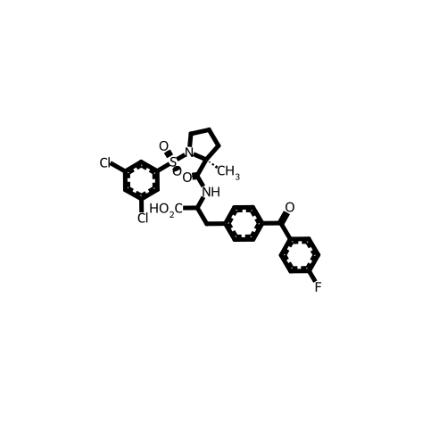 C[C@@]1(C(=O)NC(Cc2ccc(C(=O)c3ccc(F)cc3)cc2)C(=O)O)CCCN1S(=O)(=O)c1cc(Cl)cc(Cl)c1